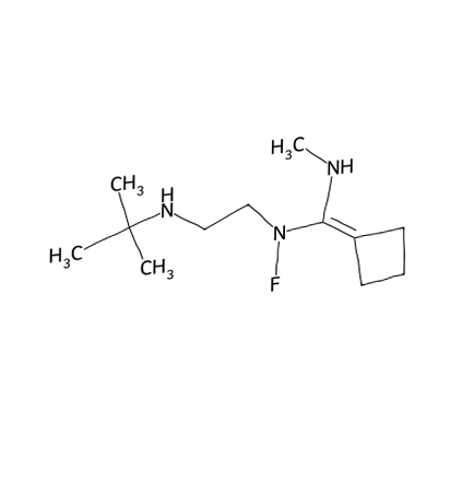 CNC(=C1CCC1)N(F)CCNC(C)(C)C